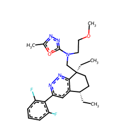 CC[C@H]1CC[C@](CC)(CN(CCOC)c2nnc(C)o2)c2nnc(-c3c(F)cccc3F)cc21